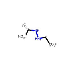 CC(C)[C@H](NNCC(=O)O)C(=O)O